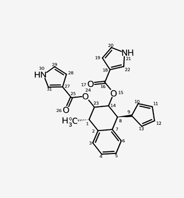 C[C@H]1c2ccccc2[C@H](C2C=CC=C2)C(OC(=O)c2cc[nH]c2)C1OC(=O)c1cc[nH]c1